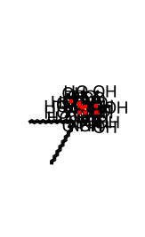 CCCCCCCCCCCCC/C=C/[C@@H](O)[C@H](CO[C@@H]1OC(CO)[C@@H](O[C@@H]2OC(CO)[C@H](O)[C@H](O[C@@H]3OC(CO)[C@@H](O[C@@H]4OC(CO)[C@H](O)[C@H](O[C@@H]5OC(CO)[C@@H](O[C@@H]6OC(CO)[C@H](O)[C@H](O[C@@H]7OC(CO)[C@@H](O)[C@H](O)C7NC(C)=O)C6O)[C@H](O[C@H]6OC(C)[C@@H](O)C(O)[C@@H]6O)C5NC(C)=O)C4O)[C@H](O)C3NC(C)=O)C2O)[C@H](O)C1O)NC(=O)CCCCCCCCCCCCCCC